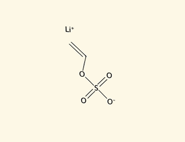 C=COS(=O)(=O)[O-].[Li+]